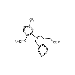 O=COc1ccc(C(F)(F)F)cc1N(CCCC(=O)O)Cc1ccccc1